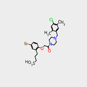 Cc1cc(CN2CCN(C(=O)COc3ccc(Br)cc3CCCS(=O)(=O)O)CC2)c(C)cc1Cl